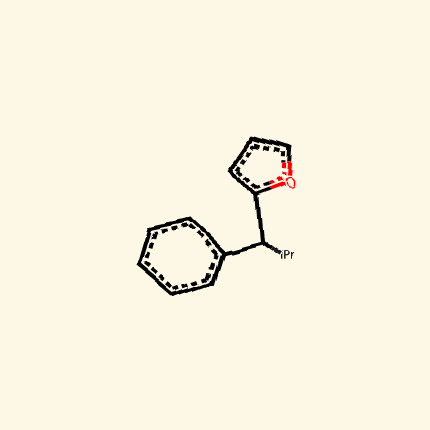 CC(C)C(c1ccccc1)c1ccco1